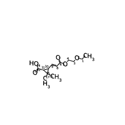 CCOCCOC(=O)C=CC1C(C(=O)O)C1(C)C